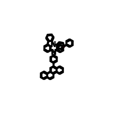 c1ccc(-c2ccc(N(c3ccc(-c4cc5c6ccccc6ccc5c5ccccc45)cc3)c3cccc4c5ccccc5n(-c5ccccc5)c34)cc2)cc1